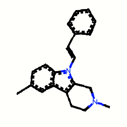 Cc1ccc2c(c1)c1c(n2/C=C/c2ccccc2)CN(C)CC1